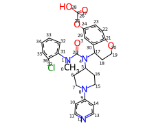 CN(C(=O)N(C1CCN(c2ccncc2)CC1)C1CCOc2ccc(OC(=O)O)cc21)c1ccccc1Cl